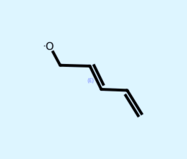 C=C/C=C/C[O]